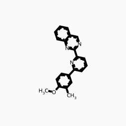 COc1ccc(-c2cccc(-c3ncc4ccccc4n3)n2)cc1C